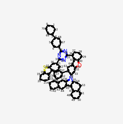 c1ccc(-c2ccc(-c3nc(-c4ccc5c(c4)sc4ccccc45)nc(-c4cccc5oc6cc(-n7c8cc9ccccc9cc8c8c9ccccc9ccc87)c(-c7ccccc7)cc6c45)n3)cc2)cc1